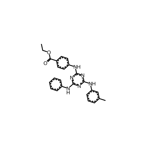 CCOC(=O)c1ccc(Nc2nc(Nc3ccccc3)nc(Nc3cccc(C)c3)n2)cc1